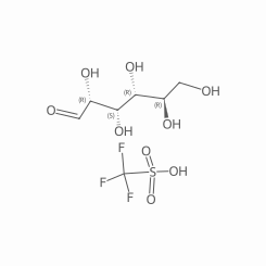 O=C[C@H](O)[C@@H](O)[C@H](O)[C@H](O)CO.O=S(=O)(O)C(F)(F)F